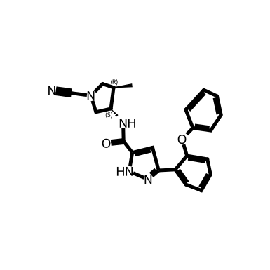 C[C@@H]1CN(C#N)C[C@H]1NC(=O)c1cc(-c2ccccc2Oc2ccccc2)n[nH]1